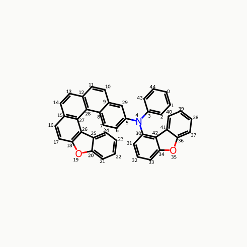 c1ccc(N(c2ccc3c(ccc4ccc5ccc6oc7ccccc7c6c5c43)c2)c2cccc3oc4ccccc4c23)cc1